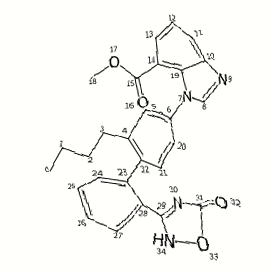 CCCCc1cc(-n2cnc3cccc(C(=O)OC)c32)ccc1-c1ccccc1-c1nc(=O)o[nH]1